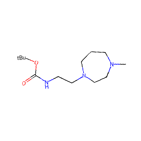 CN1CCCN(CCNC(=O)OC(C)(C)C)CC1